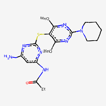 CCC(=O)Nc1cc(N)nc(Sc2c(OC)nc(N3CCCCC3)nc2OC)n1